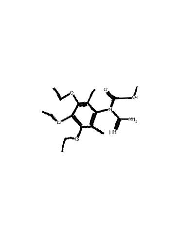 CCOc1c(C)c(N(C(=N)N)C(=O)NC)c(C)c(OCC)c1OCC